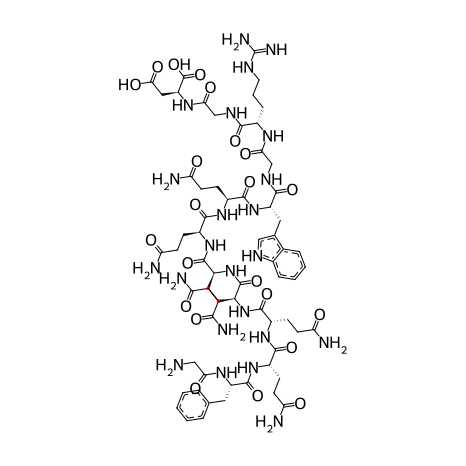 N=C(N)NCCC[C@H](NC(=O)CNC(=O)[C@H](Cc1c[nH]c2ccccc12)NC(=O)[C@H](CCC(N)=O)NC(=O)[C@H](CCC(N)=O)NC(=O)[C@H](CCC(N)=O)NC(=O)[C@H](CCC(N)=O)NC(=O)[C@H](CCC(N)=O)NC(=O)[C@H](CCC(N)=O)NC(=O)[C@H](Cc1ccccc1)NC(=O)CN)C(=O)NCC(=O)N[C@@H](CC(=O)O)C(=O)O